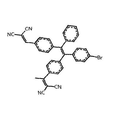 CC(=C(C#N)C#N)c1ccc(/C(=C(/c2ccccc2)c2ccc(C=C(C#N)C#N)cc2)c2ccc(Br)cc2)cc1